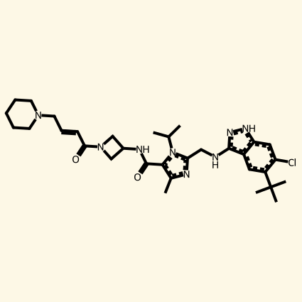 Cc1nc(CNc2n[nH]c3cc(Cl)c(C(C)(C)C)cc23)n(C(C)C)c1C(=O)NC1CN(C(=O)/C=C/CN2CCCCC2)C1